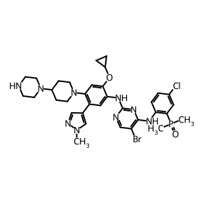 Cn1cc(-c2cc(Nc3ncc(Br)c(Nc4ccc(Cl)cc4P(C)(C)=O)n3)c(OC3CC3)cc2N2CCC(N3CCNCC3)CC2)cn1